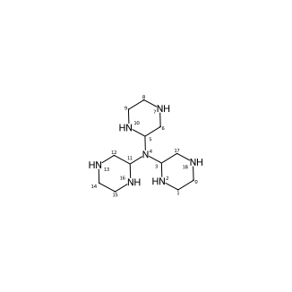 C1CNC(N(C2CNCCN2)C2CNCCN2)CN1